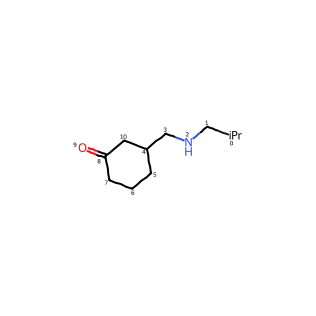 CC(C)CNCC1CCCC(=O)C1